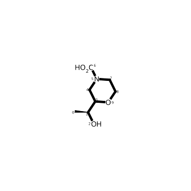 C[C@H](O)C1CN(C(=O)O)CCO1